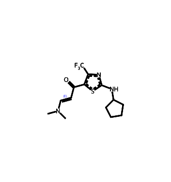 CN(C)/C=C/C(=O)c1sc(NC2CCCC2)nc1C(F)(F)F